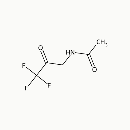 CC(=O)NCC(=O)C(F)(F)F